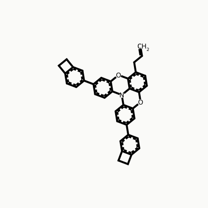 C=CCc1ccc2c3c1Oc1cc(-c4ccc5c(c4)CC5)ccc1N3c1ccc(-c3ccc4c(c3)CC4)cc1O2